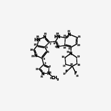 Cn1cc(-c2cc3c(-c4nc5c(N6CCC(F)(F)CC6)ccnc5[nH]4)n[nH]c3cn2)cn1